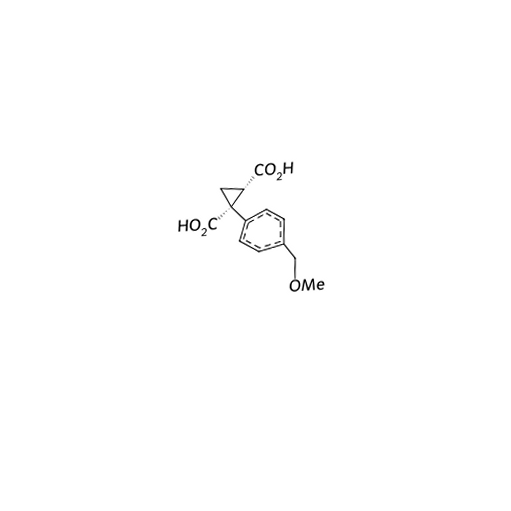 COCc1ccc([C@@]2(C(=O)O)C[C@@H]2C(=O)O)cc1